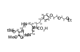 CCOCCOCCOc1ccc(CCCC(C(=O)O)N2CCNCCN(C(COC(C)(C)C)C(=O)OC)CCNCC2)cc1